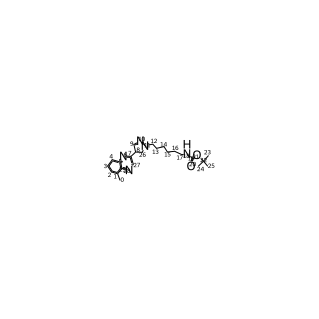 Cc1cccc2nc(C3C=NN(CCCCCCNC(=O)OC(C)(C)C)C3)cnc12